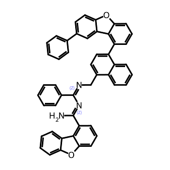 N/C(=N\C(=N/Cc1ccc(-c2cccc3oc4ccc(-c5ccccc5)cc4c23)c2ccccc12)c1ccccc1)c1cccc2oc3ccccc3c12